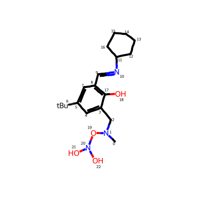 CN(Cc1cc(C(C)(C)C)cc(/C=N/C2CCCCC2)c1O)ON(O)O